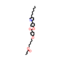 CC=CC(=O)OCCCCCCOc1ccc(C(=O)Oc2ccc(-c3ccc(CCCCCCC)cn3)cc2)cc1